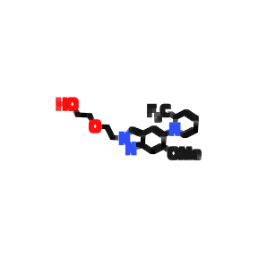 COc1cc2nn(CCOCCO)cc2cc1N1C=CC=CC1C(F)(F)F